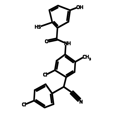 Cc1cc(C(C#N)c2ccc(Cl)cc2)c(Cl)cc1NC(=O)c1cc(O)ccc1S